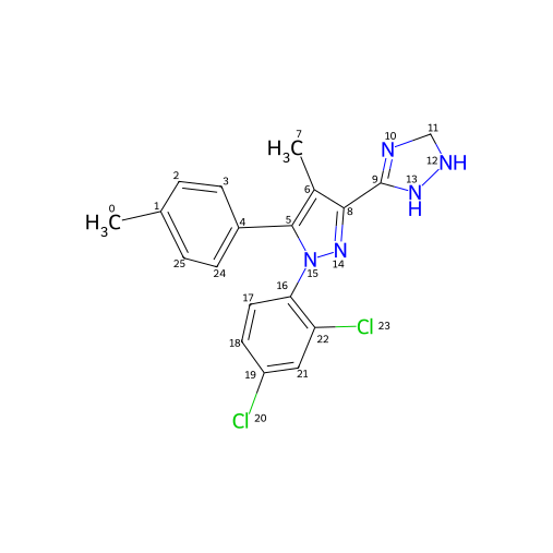 Cc1ccc(-c2c(C)c(C3=NCNN3)nn2-c2ccc(Cl)cc2Cl)cc1